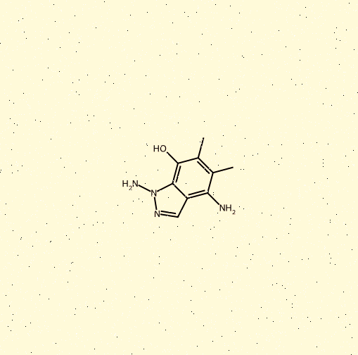 Cc1c(C)c(O)c2c(cnn2N)c1N